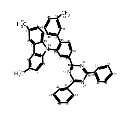 Cc1ccc2c(c1)c1cc(C)ccc1n2-c1cc(-c2nc(-c3ccccc3)nc(-c3ccccc3)n2)ccc1-c1cccc(C(F)(F)F)c1